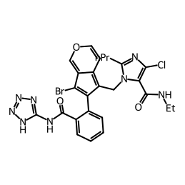 CCCc1nc(Cl)c(C(=O)NCC)n1Cc1c2ccocc-2c(Br)c1-c1ccccc1C(=O)Nc1nnn[nH]1